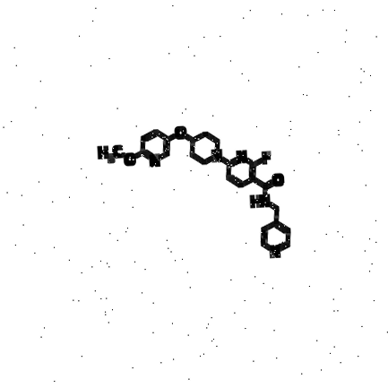 COc1ccc(OC2CCN(c3ccc(C(=O)NCc4ccncc4)c(F)n3)CC2)cn1